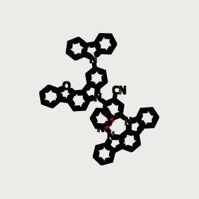 N#Cc1cc(-n2c3ccccc3c3ccc4c5ccccc5n(-c5ccccc5)c4c32)c(C#N)cc1-n1c2ccc(-n3c4ccccc4c4ccccc43)cc2c2c3oc4ccccc4c3ccc21